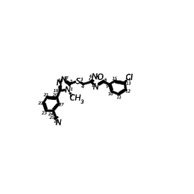 Cn1c(SCc2noc(-c3cccc(Cl)c3)n2)nnc1-c1cccc(C#N)c1